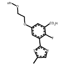 CCCOCCOc1cc(C(=O)O)c(F)c(-c2ncc(C)s2)c1